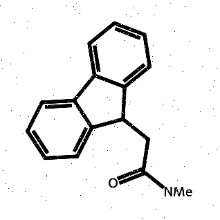 CNC(=O)CC1c2ccccc2-c2ccccc21